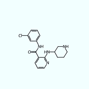 O=C(Nc1cccc(Cl)c1)c1cccnc1NC1CCCNC1